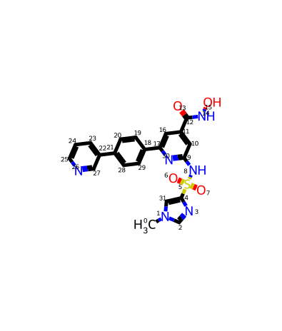 Cn1cnc(S(=O)(=O)Nc2cc(C(=O)NO)cc(-c3ccc(-c4cccnc4)cc3)n2)c1